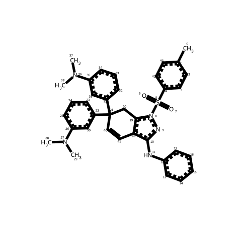 Cc1ccc(S(=O)(=O)n2nc(Nc3ccccc3)c3c2CC(c2cccc(N(C)C)c2)(c2cccc(N(C)C)c2)C=C3)cc1